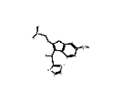 COc1ccc2c(c1)CC(CCN(C)C)=C2C(C)c1nccs1